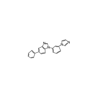 c1ccc(-c2ccc3c(c2)ncn3-c2cccc(-n3ccnc3)c2)cc1